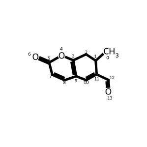 CC1Cc2oc(=O)ccc2C=C1C=O